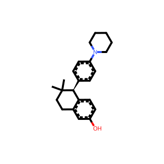 CC1(C)CCc2cc(O)ccc2[C@@H]1c1ccc(N2CCCCC2)cc1